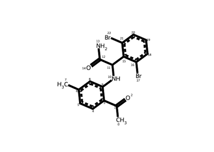 CC(=O)c1ccc(C)cc1NC(C(N)=O)c1c(Br)cccc1Br